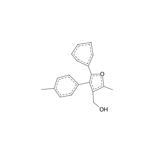 Cc1ccc(-c2c(-c3ccccc3)oc(C)c2CO)cc1